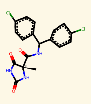 C[C@@]1(C(=O)NC(c2ccc(Cl)cc2)c2ccc(Cl)cc2)NC(=O)NC1=O